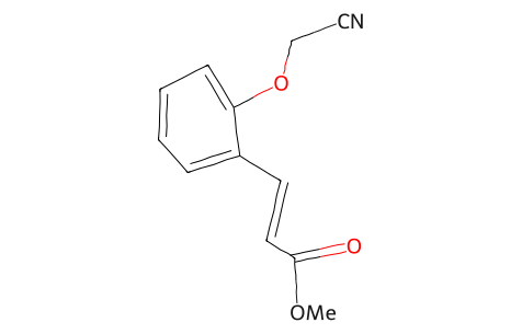 COC(=O)C=Cc1ccccc1OCC#N